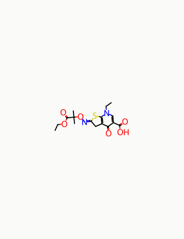 CCOC(=O)C(C)(C)ON=C1Cc2c(n(CC)cc(C(=O)O)c2=O)S1